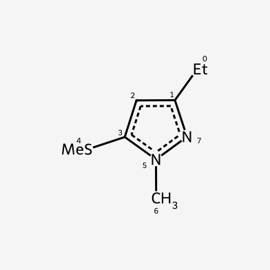 CCc1cc(SC)n(C)n1